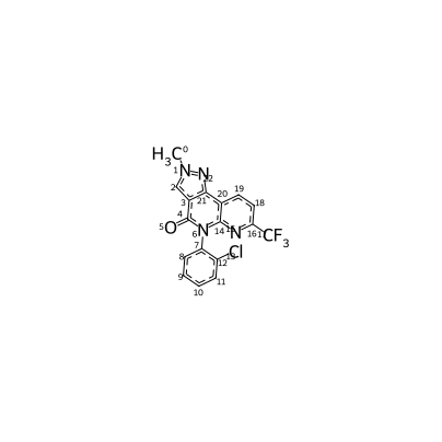 Cn1cc2c(=O)n(-c3ccccc3Cl)c3nc(C(F)(F)F)ccc3c2n1